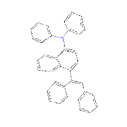 C(=C(c1ccccc1)c1ccc(N(c2ccccc2)c2ccccc2)c2ccccc12)c1ccccc1